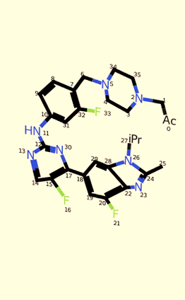 CC(=O)CN1CCN(Cc2ccc(Nc3ncc(F)c(-c4cc(F)c5nc(C)n(C(C)C)c5c4)n3)cc2F)CC1